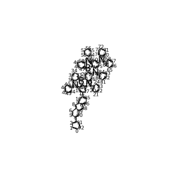 c1ccc(-c2ccc3cc4cc(-c5cc6c7c(c5)N(c5ccccc5)c5cc8c(cc5B7c5ccccc5N6c5ccccc5)B5c6ccccc6N(c6ccccc6)c6cc(N(c7ccccc7)c7ccccc7)cc(c65)N8c5ccccc5)ccc4cc3c2)cc1